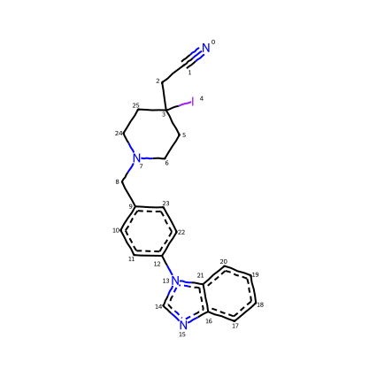 N#CCC1(I)CCN(Cc2ccc(-n3cnc4ccccc43)cc2)CC1